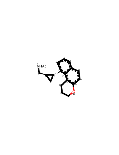 CC(=O)NC[C@@H]1C[C@H]1c1cccc2ccc3c(c12)CCCO3